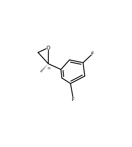 C[C@]1(c2cc(F)cc(F)c2)CO1